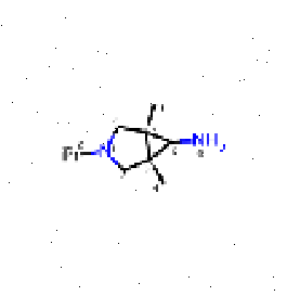 CC(C)N1C[C@@]2(C)[C@H](N)[C@@]2(C)C1